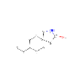 CCC1CCC2(CC1)CNC(=O)C2